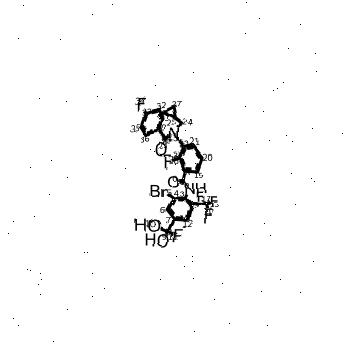 O=C(Nc1c(Br)cc(C(O)(O)F)cc1C(F)(F)F)c1cccc(N(CC2CC2)C(=O)c2ccc(F)cc2)c1F